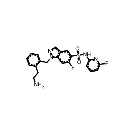 NCCc1ccccc1Cn1ncc2cc(S(=O)(=O)Nc3cccc(F)n3)c(F)cc21